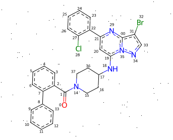 O=C(c1ccccc1-c1ccccc1)N1CCC(Nc2cc(-c3ccccc3Cl)nc3c(Br)cnn23)CC1